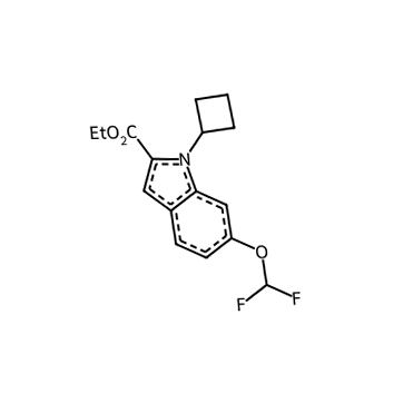 CCOC(=O)c1cc2ccc(OC(F)F)cc2n1C1CCC1